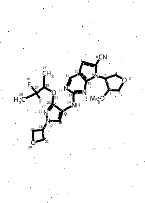 COC1COCC1n1c(C#N)cc2cnc(Nc3cn(C4COC4)nc3OC(C)C(C)(F)F)nc21